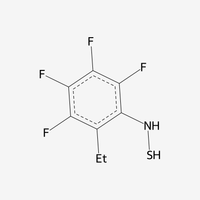 CCc1c(F)c(F)c(F)c(F)c1NS